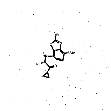 CSc1ccc(C(=O)C(C#N)C(=O)C2CC2)c2oc(C(C)(C)C)nc12